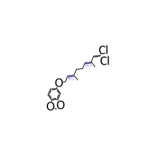 C/C(C=C(Cl)Cl)=C\CC/C(C)=C/COc1ccc2c(c1)OCO2